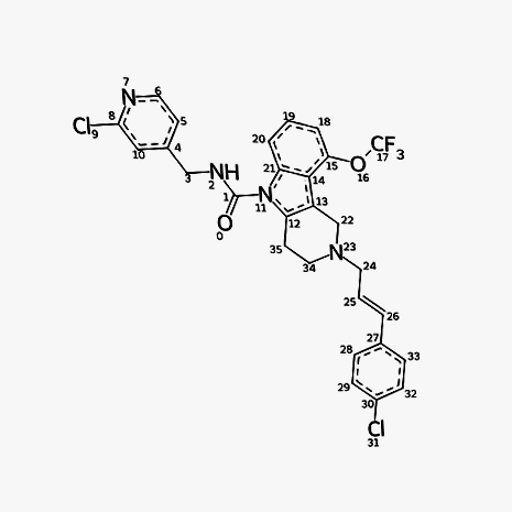 O=C(NCc1ccnc(Cl)c1)n1c2c(c3c(OC(F)(F)F)cccc31)CN(C/C=C/c1ccc(Cl)cc1)CC2